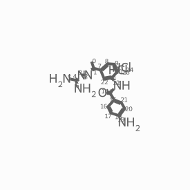 CC(=NN=C(N)N)c1cccc(NC(=O)c2ccc(N)cc2)c1.Cl.Cl